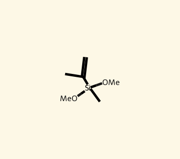 C=C(C)[Si](C)(OC)OC